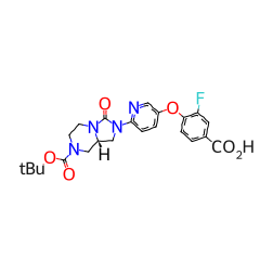 CC(C)(C)OC(=O)N1CCN2C(=O)N(c3ccc(Oc4ccc(C(=O)O)cc4F)cn3)C[C@@H]2C1